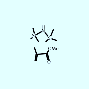 C=C(C)C(=O)OC.C[Si](C)(C)N[Si](C)(C)C